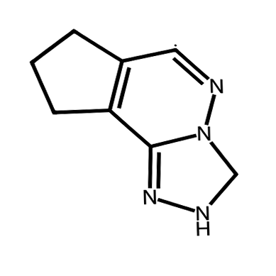 [C]1=NN2CNN=C2C2=C1CCC2